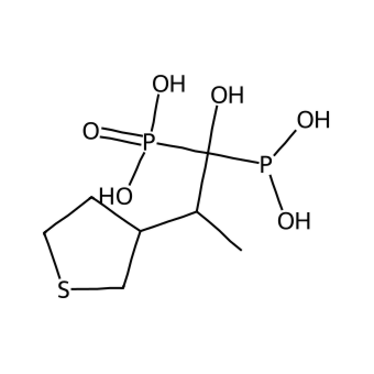 CC(C1CCSC1)C(O)(P(O)O)P(=O)(O)O